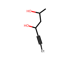 CCC#CC(O)CC(C)O